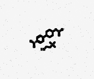 C[N+](C)(C)CCO.O=C([O-])OC1CCC(c2ccc([N+](=O)[O-])cc2)CC1